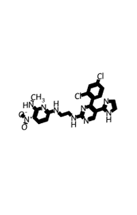 CNc1nc(NCCNc2ncc(-c3ncc[nH]3)c(-c3ccc(Cl)cc3Cl)n2)ccc1[N+](=O)[O-]